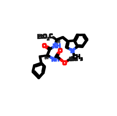 CCOC(=O)[C@@H](Cc1cn(C)c2ccccc12)NC(=O)[C@H](Cc1ccccc1)NC(=O)OC(C)(C)C